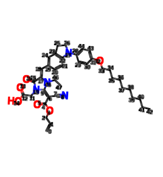 C=CCOC(=O)/C(C#N)=c1\n(CC(=O)O)c(=O)/c(=C/c2ccc3c(c2)CCN3c2ccc(OCCCCCCCCCC)cc2)n1CC